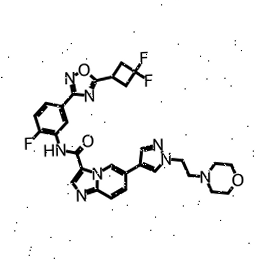 O=C(Nc1cc(-c2noc(C3CC(F)(F)C3)n2)ccc1F)c1cnc2ccc(-c3cnn(CCN4CCOCC4)c3)cn12